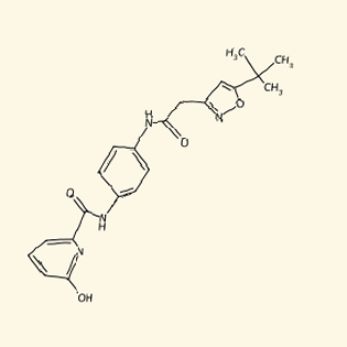 CC(C)(C)c1cc(CC(=O)Nc2ccc(NC(=O)c3cccc(O)n3)cc2)no1